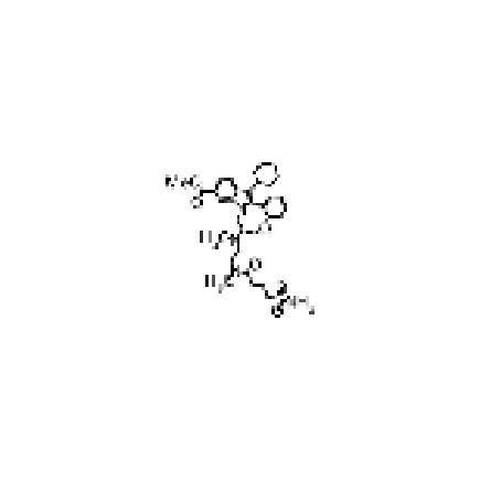 COC(=O)c1ccc2c(C3CCCCC3)c3n(c2c1)C[C@@H](N(C)CCN(C)C(=O)CCCS(N)(=O)=O)COc1ccccc1-3